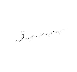 CC(C)CCCCCCNC(=O)CO